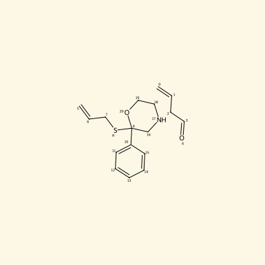 C=CCC=O.C=CCSC1(c2ccccc2)CNCCO1